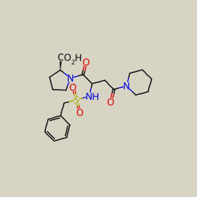 O=C(O)[C@@H]1CCCN1C(=O)C(CC(=O)N1CCCCC1)NS(=O)(=O)Cc1ccccc1